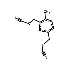 Cc1ccc(CSC#N)cc1CSC#N